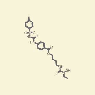 CCN(S)C(=O)NCCCCOC(=O)c1ccc(NC(=O)NS(=O)(=O)c2ccc(C)cc2)cc1